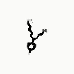 CCCCCCC(CCCC)c1ccc(F)nc1